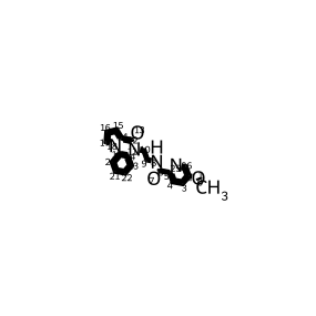 COc1ccc(C(=O)NCCn2c(=O)c3cccn3c3ccccc32)nc1